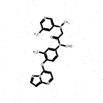 Cc1cc(N(C=O)C(=O)CN(C)c2cncc(C(F)(F)F)c2)ccc1Oc1ccnc2ccnn12